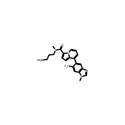 CNCCCN(C)C(=O)c1ccc2c(-c3cc4ncn(C)c4cc3C(F)(F)F)cccn12